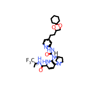 C[C@@H](NC(=O)C1C=CC2=C(N1)N(C(=O)Nc1cc(CCC3COC4(CCCCC4)O3)ccn1)[C@H]1CCN2C1)C(F)(F)F